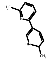 Cc1cccc(C2=CNC(C)C=C2)n1